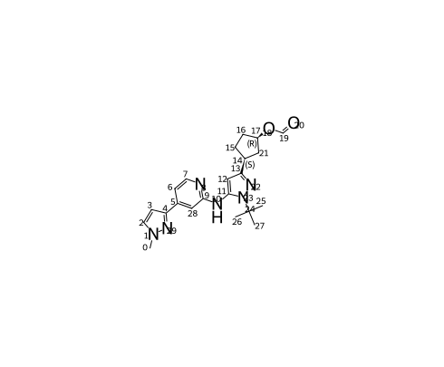 Cn1ccc(-c2ccnc(Nc3cc([C@H]4CC[C@@H](OC=O)C4)nn3C(C)(C)C)c2)n1